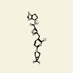 Cn1cnc2c1CC[C@H]2NC(=O)c1cc(Cc2ccc(N3CC4C(C3)C4(F)F)nc2Cl)no1